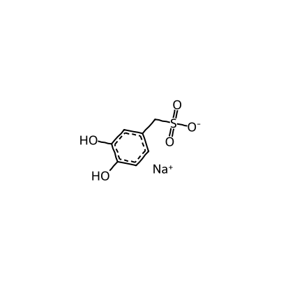 O=S(=O)([O-])Cc1ccc(O)c(O)c1.[Na+]